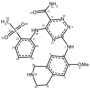 COc1cc2c(cc1Nc1nnc(C(N)=O)c(Nc3ccccc3S(C)(=O)=O)n1)CNCC2